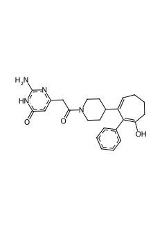 Nc1nc(CC(=O)N2CCC(C3=CCCCC(O)=C3c3ccccc3)CC2)cc(=O)[nH]1